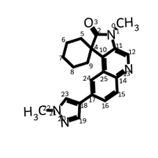 CN1C(=O)C2(CCCCC2)c2c1cnc1ccc(-c3cnn(C)c3)cc21